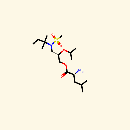 CCC(C)(C)N(C[C@@H](COC(=O)[C@@H](N)CC(C)C)OC(C)C)S(C)(=O)=O